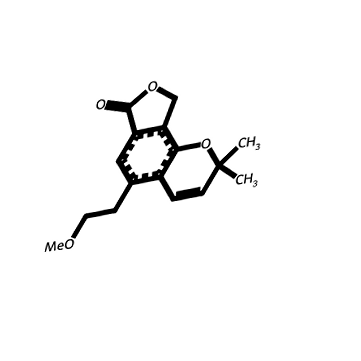 COCCc1cc2c(c3c1C=CC(C)(C)O3)COC2=O